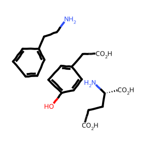 NCCc1ccccc1.N[C@@H](CCC(=O)O)C(=O)O.O=C(O)Cc1ccc(O)cc1